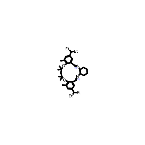 CCC(CC)c1cc(C)c2c(c1)/C=N/C1CCCCC1/N=C/c1cc(C(CC)CC)cc(C)c1OC(C)(C)CC(C)(C)O2